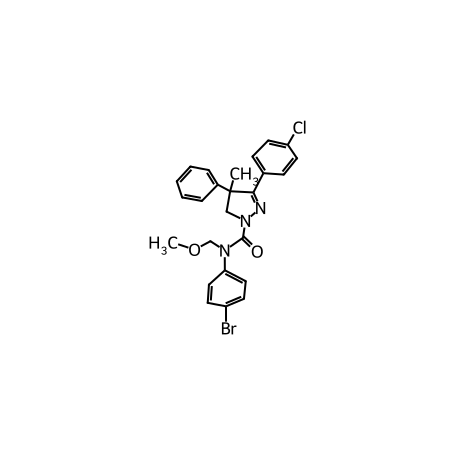 COCN(C(=O)N1CC(C)(c2ccccc2)C(c2ccc(Cl)cc2)=N1)c1ccc(Br)cc1